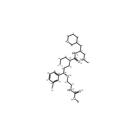 CNCC(CC1CCCOC1)NC(=O)N1CCC[C@@H]([C@@H](OCCNC(=O)OC)c2cccc(F)c2)C1